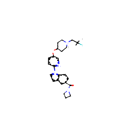 CC(C)(F)CN1CCC(Oc2ccc(-n3ccc4cc(C(=O)N5CCC5)ccc43)nc2)CC1